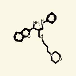 NC(/C(=C\Nc1ccccc1)CNCCCN1CCOCC1)c1cc2ccccc2o1